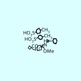 COCC1(CN[C@@H]2C[C@H]2c2ccccc2)CCN(CC2(C(=O)O)CCC2)CC1.Cc1ccc(S(=O)(=O)O)cc1.Cc1ccc(S(=O)(=O)O)cc1